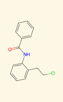 O=C(Nc1ccccc1CCCl)c1ccccc1